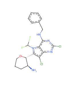 N[C@H]1CCCO[C@@H]1c1c(Cl)c2nc(Cl)nc(NCc3ccccc3)c2n1C(F)F